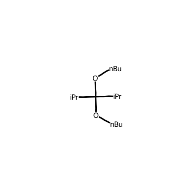 CCCCOC(OCCCC)(C(C)C)C(C)C